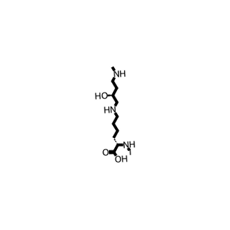 CNCC[C@H](O)CNCCCC[C@H](NI)C(=O)O